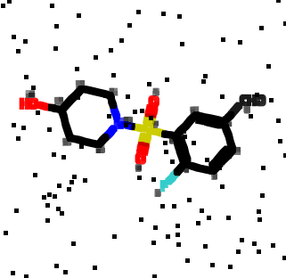 O=Cc1ccc(F)c(S(=O)(=O)N2CCC(O)CC2)c1